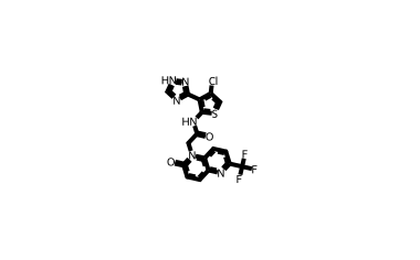 O=C(Cn1c(=O)ccc2nc(C(F)(F)F)ccc21)Nc1scc(Cl)c1-c1nc[nH]n1